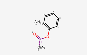 CO[PH](=O)Oc1ccccc1.[AlH3]